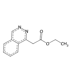 CCOC(=O)Cc1nncc2ccccc12